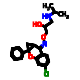 CC(C)NCC(O)CON=C1c2ccc(Cl)cc2OC2(c3ccccc3)CC12